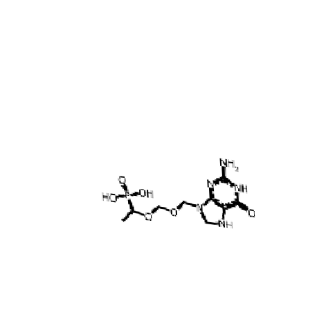 CC(OCOCN1CNc2c1nc(N)[nH]c2=O)P(=O)(O)O